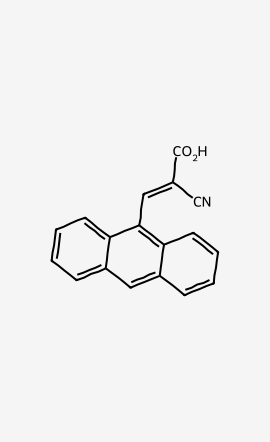 N#C/C(=C\c1c2ccccc2cc2ccccc12)C(=O)O